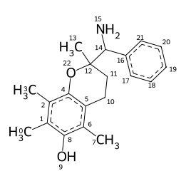 Cc1c(C)c2c(c(C)c1O)CCC(C)(C(N)c1ccccc1)O2